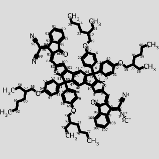 [C-]#[N+]/C(C#N)=C1/C(=C/c2cc3c(s2)C(c2ccc(OCC(CC)CCCC)cc2)(c2ccc(OCC(CC)CCCC)cc2)c2cc4c(cc2-3)C(c2ccc(OCC(CC)CCCC)cc2)(c2ccc(OCC(CC)CCCC)cc2)c2sc(/C=C3\C(=O)c5ccccc5C3=C(C#N)C#N)cc2-4)C(=O)c2ccccc21